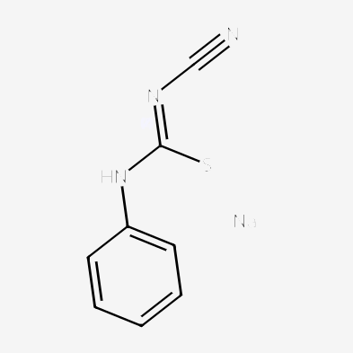 N#C/N=C(\[S-])Nc1ccccc1.[Na+]